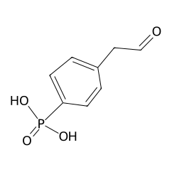 O=CCc1ccc(P(=O)(O)O)cc1